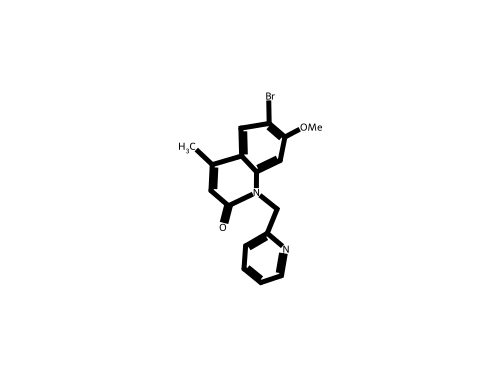 COc1cc2c(cc1Br)c(C)cc(=O)n2Cc1ccccn1